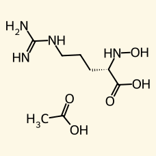 CC(=O)O.N=C(N)NCCC[C@H](NO)C(=O)O